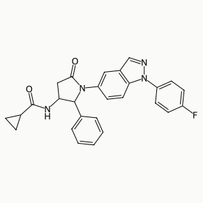 O=C(NC1CC(=O)N(c2ccc3c(cnn3-c3ccc(F)cc3)c2)C1c1ccccc1)C1CC1